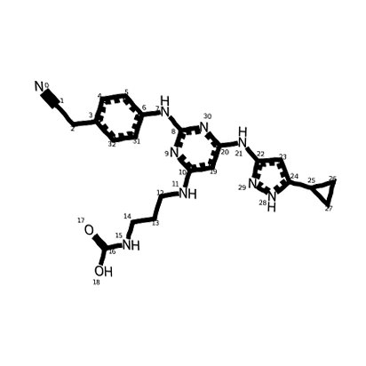 N#CCc1ccc(Nc2nc(NCCCNC(=O)O)cc(Nc3cc(C4CC4)[nH]n3)n2)cc1